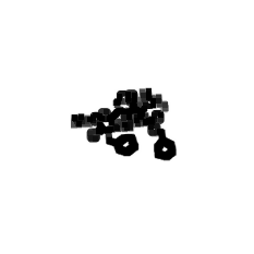 COC(=O)[C@H](Cc1ccccc1)NC(=O)[C@H](CC(=O)O)NC(=O)[C@@H](C)NC(=O)OCc1ccccc1